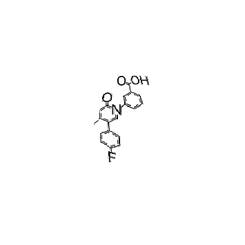 Cc1cc(=O)n(-c2cccc(C(=O)O)c2)cc1-c1ccc(F)cc1